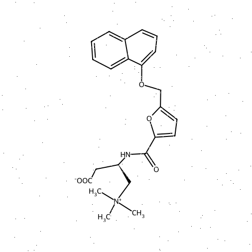 C[N+](C)(C)C[C@@H](CC(=O)[O-])NC(=O)c1ccc(COc2cccc3ccccc23)o1